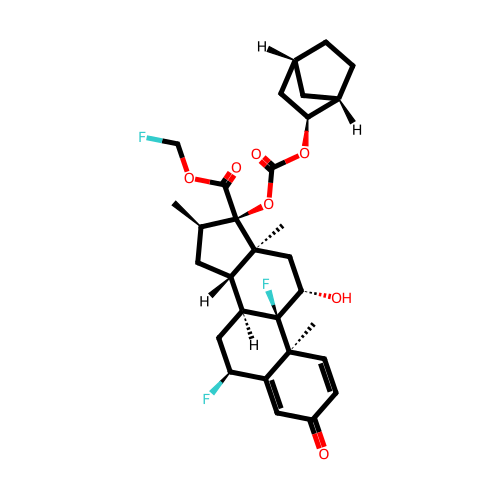 C[C@@H]1C[C@H]2[C@@H]3C[C@H](F)C4=CC(=O)C=C[C@]4(C)[C@@]3(F)[C@@H](O)C[C@]2(C)[C@@]1(OC(=O)O[C@H]1C[C@@H]2CC[C@H]1C2)C(=O)OCF